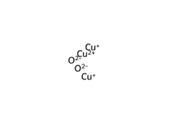 [Cu+2].[Cu+].[Cu+].[O-2].[O-2]